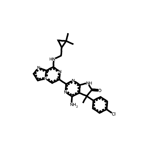 CC1(c2ccc(Cl)cc2)C(=O)Nc2nc(-c3cn4ccnc4c(NCC4CC4(C)C)n3)nc(N)c21